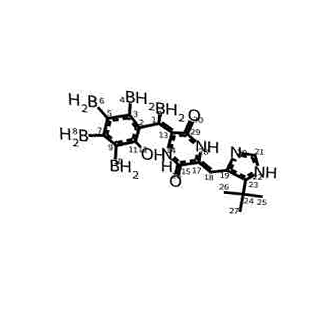 B/C(c1c(B)c(B)c(B)c(B)c1O)=c1/[nH]c(=O)/c(=C/c2nc[nH]c2C(C)(C)C)[nH]c1=O